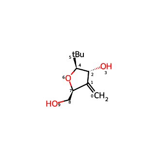 C=C1[C@@H](O)[C@H](C(C)(C)C)O[C@@H]1CO